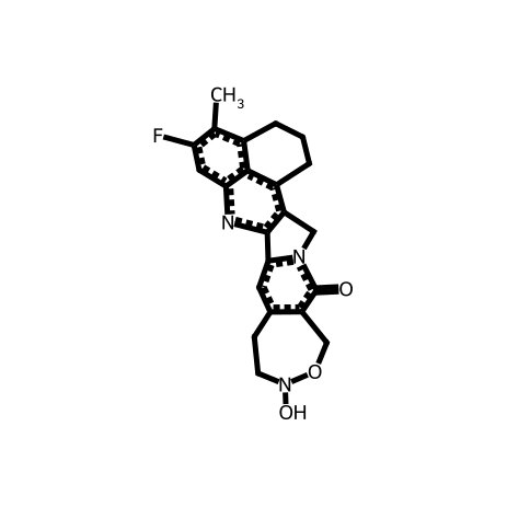 Cc1c(F)cc2nc3c(c4c2c1CCC4)Cn1c-3cc2c(c1=O)CON(O)CC2